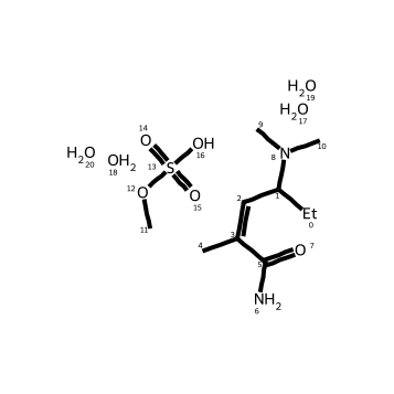 CCC(C=C(C)C(N)=O)N(C)C.COS(=O)(=O)O.O.O.O.O